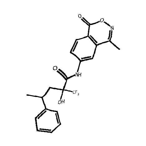 Cc1noc(=O)c2ccc(NC(=O)C(O)(CC(C)c3ccccc3)C(F)(F)F)cc12